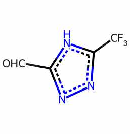 O=Cc1nnc(C(F)(F)F)[nH]1